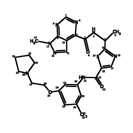 CC(NC(=O)c1ncnc2c1cnn2C)c1ncc(C(=O)Nc2cc(OCCN3CCCC3)cc(C(F)(F)F)c2)s1